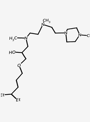 CCC(CC)CCCOCC(O)CN(C)CCN(C)CCN1CCN(C)CC1